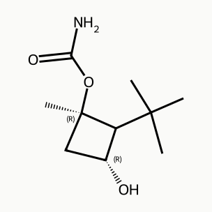 CC(C)(C)C1[C@H](O)C[C@@]1(C)OC(N)=O